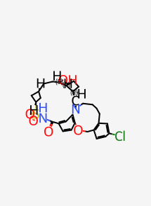 O=C1NS(=O)(=O)[C@H]2C[C@@H](CC[C@H](O)[C@@H]3CC[C@H]3CN3CCCCc4cc(Cl)ccc4COc4ccc1cc43)C2